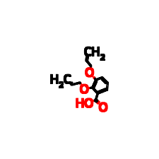 C=CCOc1cccc(C(=O)O)c1OCC=C